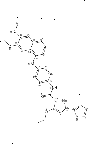 CCOc1cn(-c2ccco2)nc1C(=O)Nc1ccc(Oc2ccnc3cc(OC)c(OC)cc23)cn1